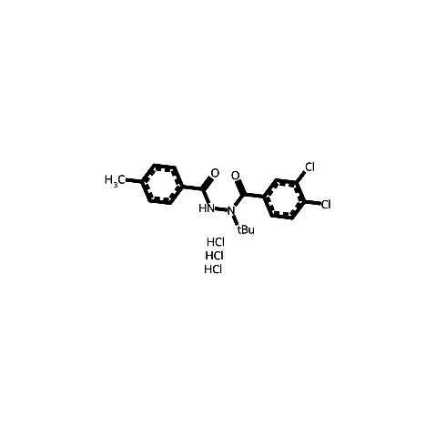 Cc1ccc(C(=O)NN(C(=O)c2ccc(Cl)c(Cl)c2)C(C)(C)C)cc1.Cl.Cl.Cl